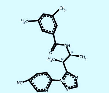 Cc1cc(C(=O)N[C@@H](C)[C@H](C)c2ncnn2-c2ccc(C#N)cn2)cc(C(F)(F)F)c1